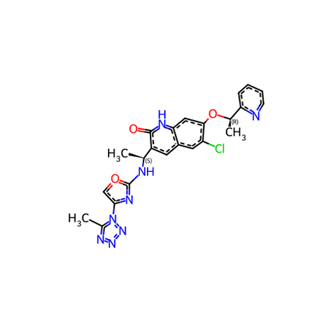 Cc1nnnn1-c1coc(N[C@@H](C)c2cc3cc(Cl)c(O[C@H](C)c4ccccn4)cc3[nH]c2=O)n1